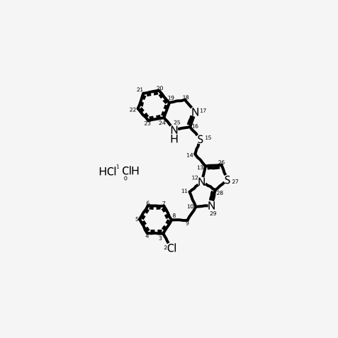 Cl.Cl.Clc1ccccc1CC1CN2C(CSC3=NCc4ccccc4N3)=CSC2=N1